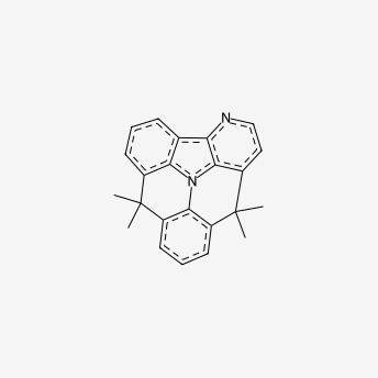 CC1(C)c2cccc3c2-n2c4c1cccc4c1nccc(c12)C3(C)C